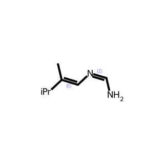 C/C(=C\N=C/N)C(C)C